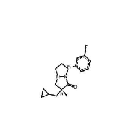 C[C@@]1(CC2CC2)CN2CC[C@H](c3cccc(F)c3)N2C1=O